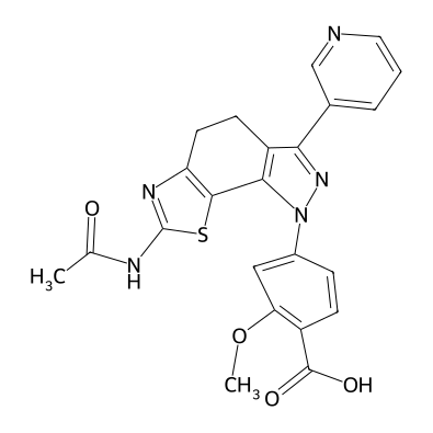 COc1cc(-n2nc(-c3cccnc3)c3c2-c2sc(NC(C)=O)nc2CC3)ccc1C(=O)O